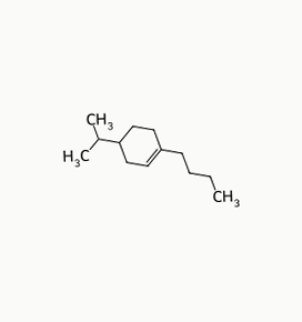 CCCCC1=CCC(C(C)C)CC1